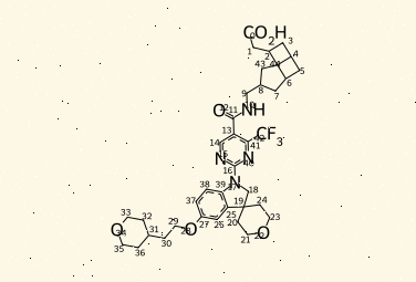 O=C(O)CC1CC2CC3CC(CNC(=O)c4cnc(N5CC6(CCOCC6)c6cc(OCCC7CCOCC7)ccc65)nc4C(F)(F)F)CC132